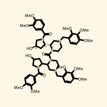 COc1ccc(C(=O)N2CC(O)CC2C2CN(Cc3ccc(OC)c(OC)c3OC)CCN2C(=O)N2CCN(Cc3ccc(OC)c(OC)c3OC)CC2[C@@H]2C[C@@H](O)CN2C(=O)c2ccc(OC)c(OC)c2)cc1OC